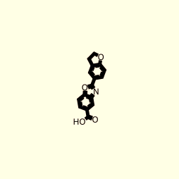 O=C(O)c1ccc2oc(-c3ccc4c(c3)CCO4)nc2c1